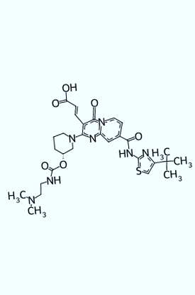 CN(C)CCNC(=O)O[C@@H]1CCCN(c2nc3cc(C(=O)Nc4nc(C(C)(C)C)cs4)ccn3c(=O)c2C=CC(=O)O)C1